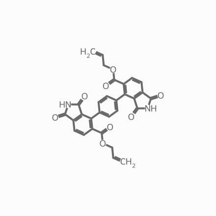 C=CCOC(=O)c1ccc2c(c1-c1ccc(-c3c(C(=O)OCC=C)ccc4c3C(=O)NC4=O)cc1)C(=O)NC2=O